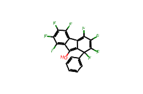 OC1=C2C(=C(F)C(F)=C(F)C2(F)c2ccccc2)c2c(F)c(F)c(F)c(F)c21